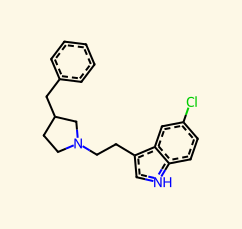 Clc1ccc2[nH]cc(CCN3CCC(Cc4ccccc4)C3)c2c1